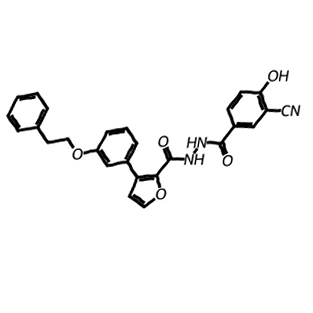 N#Cc1cc(C(=O)NNC(=O)c2occc2-c2cccc(OCCc3ccccc3)c2)ccc1O